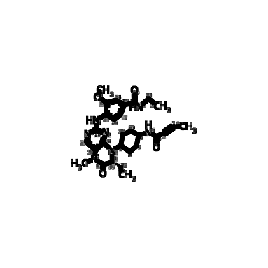 CC#CC(=O)NC1CCC(N2c3nc(Nc4ccc(C(=O)NCC)cc4OC)ncc3N(C)C(=O)[C@H]2CC)CC1